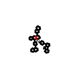 CC1(C)c2ccccc2-c2cccc(-c3ccc(N(c4ccc(-c5ccc6ccccc6c5)cc4)c4cc(-c5cccc6ccccc56)ccc4-c4cccc5ccccc45)cc3)c21